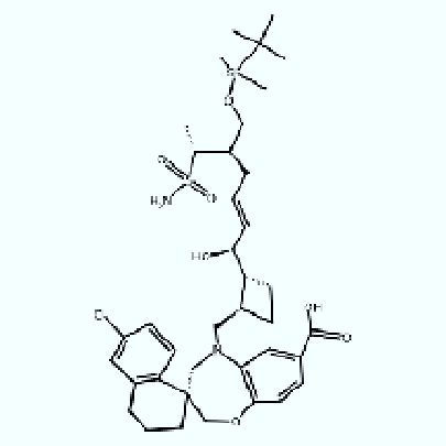 C[C@H]([C@H](C/C=C/[C@H](O)[C@@H]1CC[C@H]1CN1C[C@@]2(CCCc3cc(Cl)ccc32)COc2ccc(C(=O)O)cc21)CO[Si](C)(C)C(C)(C)C)S(N)(=O)=O